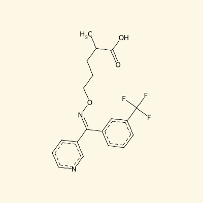 CC(CCCON=C(c1cccnc1)c1cccc(C(F)(F)F)c1)C(=O)O